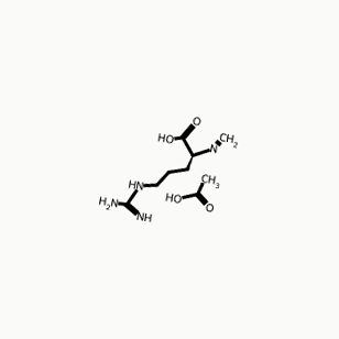 C=N[C@@H](CCCNC(=N)N)C(=O)O.CC(=O)O